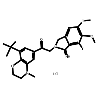 COc1cc2c(c(F)c1OC)C(=N)N(CC(=O)c1cc3c(c(C(C)(C)C)c1)OCCN3C)C2.Cl